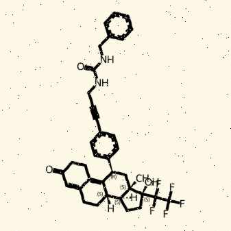 C[C@]12C[C@H](c3ccc(C#CCNC(=O)NCc4ccccc4)cc3)C3=C4CCC(=O)C=C4CC[C@H]3[C@@H]1CC[C@@]2(O)C(F)(F)C(F)(F)F